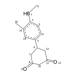 CBc1ccc(C2CC(=O)CC(=O)C2)cc1C